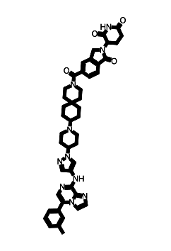 Cc1cccc(-c2cnc(Nc3cnn(C4CCN(C5CCC6(CC5)CCN(C(=O)c5ccc7c(c5)CN(C5CCC(=O)NC5=O)C7=O)CC6)CC4)c3)c3nccn23)c1